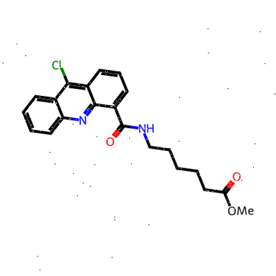 COC(=O)CCCCCNC(=O)c1cccc2c(Cl)c3ccccc3nc12